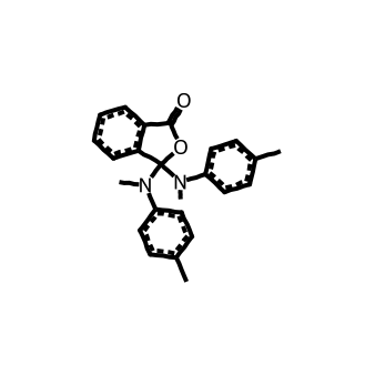 Cc1ccc(N(C)C2(N(C)c3ccc(C)cc3)OC(=O)c3ccccc32)cc1